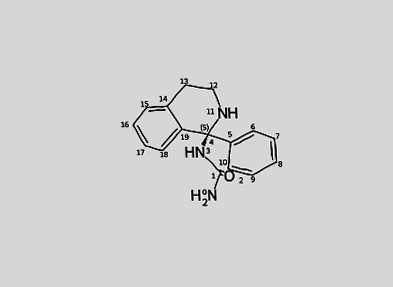 NC(=O)N[C@]1(c2ccccc2)NCCc2ccccc21